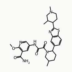 COc1ncc(NC(=O)C(=O)N2CC(C)CCC2c2ccc3sc(C4CCN(C)CC4C)nc3c2)cc1C(N)=O